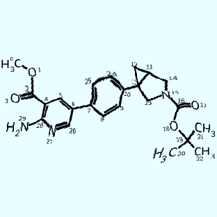 COC(=O)c1cc(-c2ccc(C34CC3CN(C(=O)OC(C)(C)C)C4)cc2)cnc1N